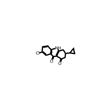 O=C1CC(C2CC2)Cc2[nH]c3ccc(Cl)cc3c(=O)c21